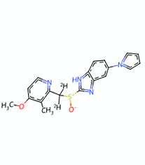 [2H]C([2H])(c1nccc(OC)c1C)[S+]([O-])c1nc2cc(-n3cccc3)ccc2[nH]1